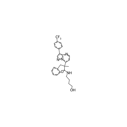 CC(Cc1ccccc1)(C(=O)NCCCCO)c1ccnc2c(-c3ccc(C(F)(F)F)cc3)cnn12